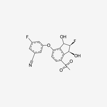 CS(=O)(=O)c1ccc(Oc2cc(F)cc(C#N)c2)c2c1[C@H](O)[C@H](F)C2O